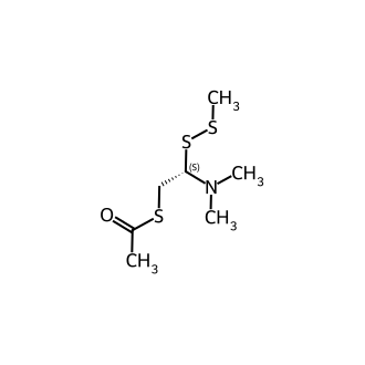 CSS[C@@H](CSC(C)=O)N(C)C